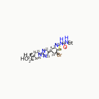 CCNC(=O)Nc1nc2cc(-c3cnc(N4CCC(C)(C(=O)O)CC4)nc3)cc(Br)c2s1